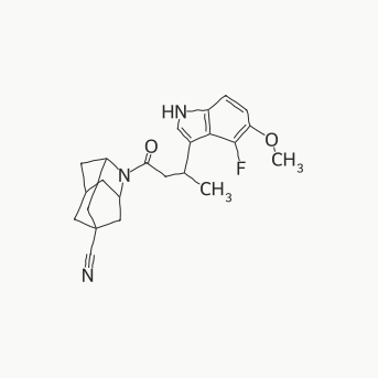 COc1ccc2[nH]cc(C(C)CC(=O)N3C4CC5CC3CC(C#N)(C5)C4)c2c1F